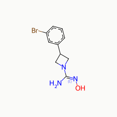 N/C(=N\O)N1CC(c2cccc(Br)c2)C1